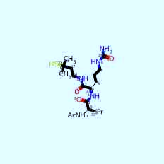 CC(=O)N[C@H](C(=O)N[C@@H](CCCNC(N)=O)C(=O)NCCC(C)(C)S)C(C)C